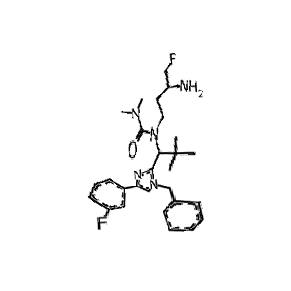 CN(C)C(=O)N(CC[C@H](N)CF)C(c1nc(-c2cccc(F)c2)cn1Cc1ccccc1)C(C)(C)C